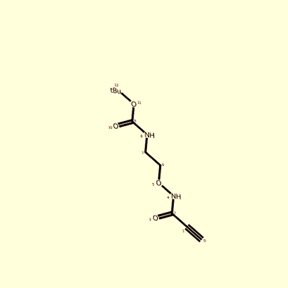 C#CC(=O)NOCCNC(=O)OC(C)(C)C